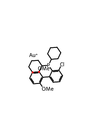 COc1cccc(OC)c1-c1cccc(Cl)c1P(C1CCCCC1)C1CCCCC1.[Au+]